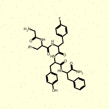 CC(C)CC(NC(=O)CN)C(=O)NC(Cc1ccc(F)cc1)C(=O)NC(Cc1ccc(O)cc1)C(=O)NC(Cc1ccccc1)C(N)=O